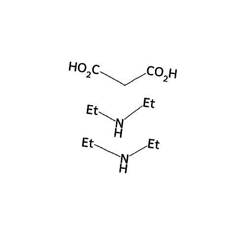 CCNCC.CCNCC.O=C(O)CC(=O)O